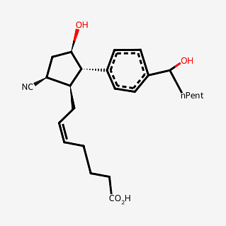 CCCCCC(O)c1ccc([C@@H]2[C@@H](C/C=C\CCCC(=O)O)[C@@H](C#N)C[C@H]2O)cc1